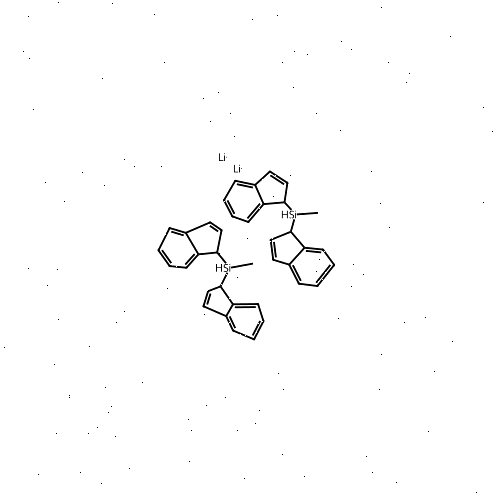 C[SiH](C1C=Cc2ccccc21)C1C=Cc2ccccc21.C[SiH](C1C=Cc2ccccc21)C1C=Cc2ccccc21.[Li].[Li]